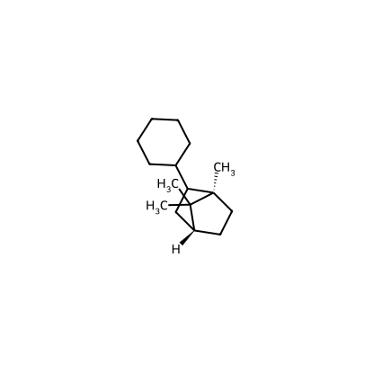 CC1(C)[C@@H]2CC[C@]1(C)C(C1CCCCC1)C2